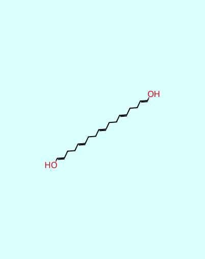 O/C=C/CC/C=C/CC/C=C/CC/C=C/CC/C=C/O